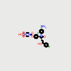 N.O=C(Oc1ccc([C@@H]2[C@@H](CC[C@H](O)c3ccc(F)cc3)C(=O)N2c2ccc(F)cc2)c(F)c1)N1CCN(S(=O)(=O)O)CC1